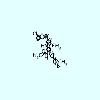 C=CC(=O)Nc1cc(Nc2cc(N3OCCC3Cc3cccc(Cl)c3F)ncn2)c(OC)cc1N1CCC(N2CCN(C3CC3)C(C)C2)CC1